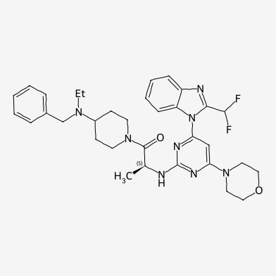 CCN(Cc1ccccc1)C1CCN(C(=O)[C@H](C)Nc2nc(N3CCOCC3)cc(-n3c(C(F)F)nc4ccccc43)n2)CC1